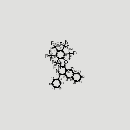 FC(F)(F)c1c(Oc2nnc(-c3ccccc3)c3cc4ccccc4cc23)c(C(F)(F)F)c(C(F)(F)F)c(C(F)(F)F)c1C(F)(F)F